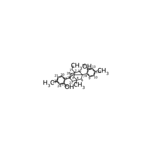 CCC12CC3(C)CC(c4ccc(C)cc4O)(C1)CC(c1ccc(C)cc1O)(C3)C2